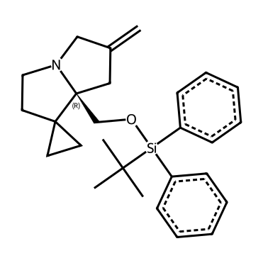 C=C1CN2CCC3(CC3)[C@@]2(CO[Si](c2ccccc2)(c2ccccc2)C(C)(C)C)C1